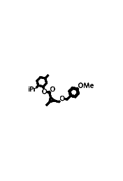 COc1ccc(COCC2C(C)C2C(=O)OC2CC(C)CCC2C(C)C)cc1